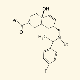 CCN(SC1C=C[C@@]2(O)CCN(C(=O)C(C)C)CC2C1)C(C)c1ccc(F)cc1